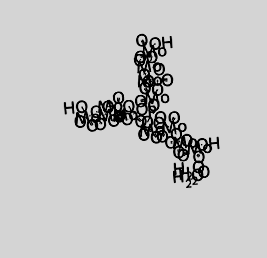 O.O.O.O=P([O][Mo](=[O])(=[O])[O][Mo](=[O])(=[O])[O][Mo](=[O])(=[O])[O][Mo](=[O])(=[O])[OH])([O][Mo](=[O])(=[O])[O][Mo](=[O])(=[O])[O][Mo](=[O])(=[O])[O][Mo](=[O])(=[O])[OH])[O][Mo](=[O])(=[O])[O][Mo](=[O])(=[O])[O][Mo](=[O])(=[O])[O][Mo](=[O])(=[O])[OH]